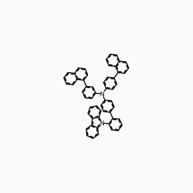 c1cc(-c2cccc3ccccc23)cc(N(c2ccc(-c3ccccc3-n3c4ccccc4c4ccccc43)cc2)c2ccc(-c3cccc4ccccc34)cc2)c1